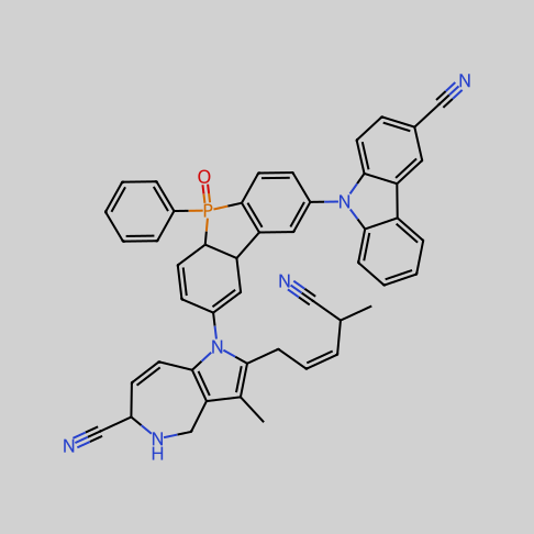 Cc1c2c(n(C3=CC4c5cc(-n6c7ccccc7c7cc(C#N)ccc76)ccc5P(=O)(c5ccccc5)C4C=C3)c1C/C=C\C(C)C#N)C=CC(C#N)NC2